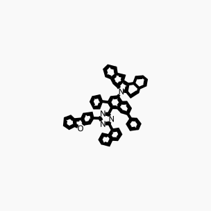 C1=CC2C=Cc3c(c4cc5ccccc5cc4n3-c3cc(-c4ccccc4)c(-c4nc(-c5ccc6c(c5)oc5ccccc56)nc(-c5cccc6ccccc56)n4)c4cc(-c5ccccc5)ccc34)C2C=C1